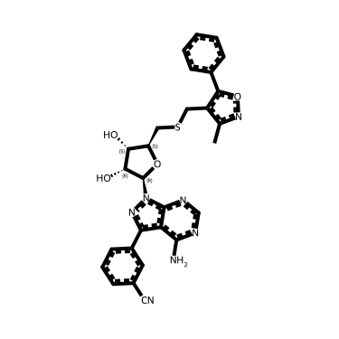 Cc1noc(-c2ccccc2)c1CSC[C@H]1O[C@@H](n2nc(-c3cccc(C#N)c3)c3c(N)ncnc32)[C@H](O)[C@@H]1O